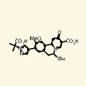 COc1cc2c(cc1-c1cnn(C(C)(C)C(=O)O)c1)CC(C(C)(C)C)n1cc(C(=O)O)c(=O)cc1-2